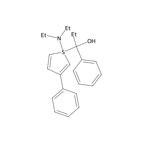 CCN(CC)S1(C(O)(CC)c2ccccc2)C=CC(c2ccccc2)=C1